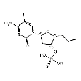 CCC[C@H]1O[C@@H](n2cc(C)c(N)nc2=O)C[C@H]1OP(O)(O)=S